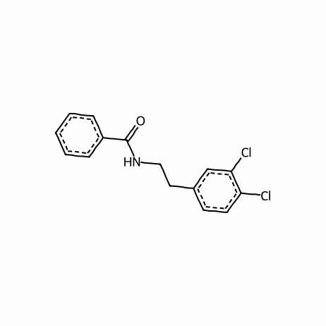 O=C(NCCc1ccc(Cl)c(Cl)c1)c1ccccc1